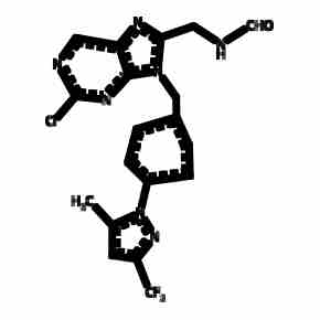 Cc1cc(C(F)(F)F)nn1-c1ccc(Cn2c(CNC=O)nc3cnc(Cl)nc32)cc1